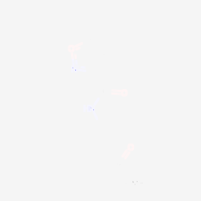 COC(=O)c1ccccc1CNC(=O)c1noc2c1CCCC2